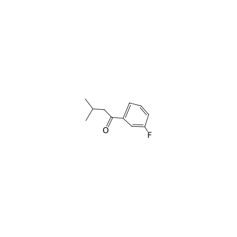 CC(C)CC(=O)c1cccc(F)c1